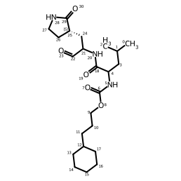 CC(C)CC(NC(=O)OCCCC1CCCCC1)C(=O)NC(C=O)C[C@@H]1CCNC1=O